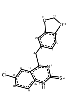 S=c1nc(Cc2ccc3c(c2)OCO3)c2cc(Cl)ccc2[nH]1